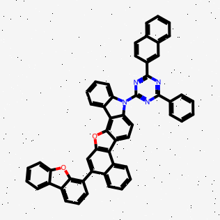 c1ccc(-c2nc(-c3ccc4ccccc4c3)nc(-n3c4ccccc4c4c5oc6cc(-c7cccc8c7oc7ccccc78)c7ccccc7c6c5ccc43)n2)cc1